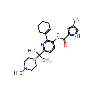 CN1CCN(C(C)(C)c2ccc(NC(=O)c3cc(C#N)c[nH]3)c(C3=CCCCC3)n2)CC1